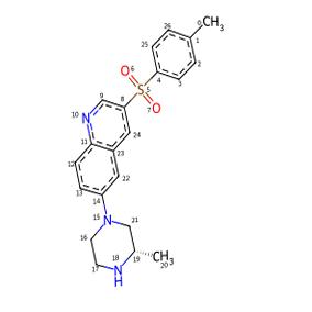 Cc1ccc(S(=O)(=O)c2cnc3ccc(N4CCN[C@@H](C)C4)cc3c2)cc1